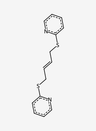 C(=CCSc1ccccn1)CSc1ccccn1